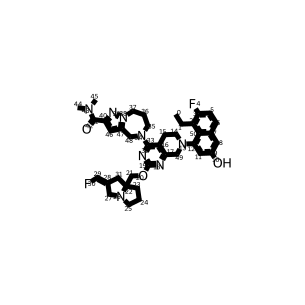 CCc1c(F)ccc2cc(O)cc(N3CCc4c(nc(OCC56CCCN5C/C(=C\F)C6)nc4N4CCCn5nc(C(=O)N(C)C)cc5C4)C3)c12